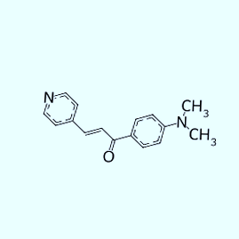 CN(C)c1ccc(C(=O)/C=C/c2ccncc2)cc1